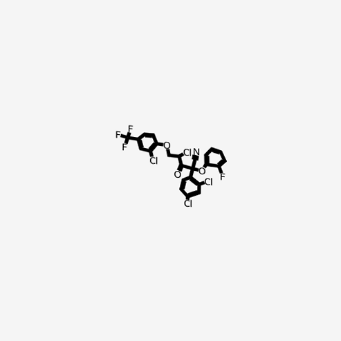 N#CC(Oc1ccccc1F)(C(=O)C(Cl)COc1ccc(C(F)(F)F)cc1Cl)c1ccc(Cl)cc1Cl